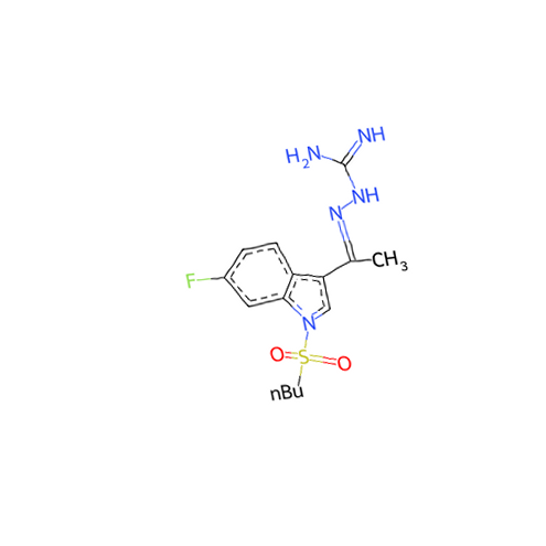 CCCCS(=O)(=O)n1cc(C(C)=NNC(=N)N)c2ccc(F)cc21